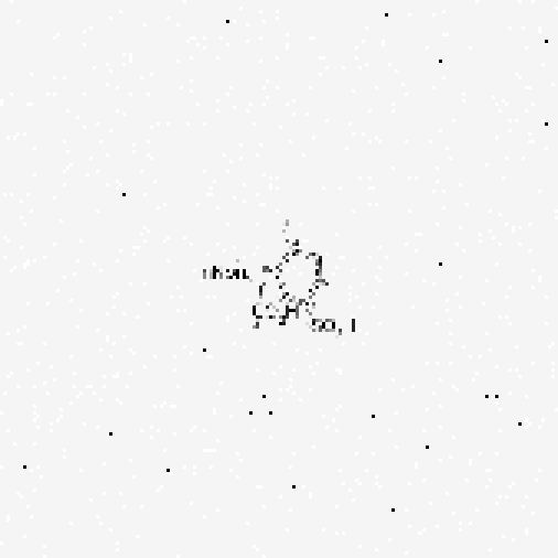 CCCCCCCCCCC(=O)O.Cc1ccc(S(=O)(=O)O)cc1